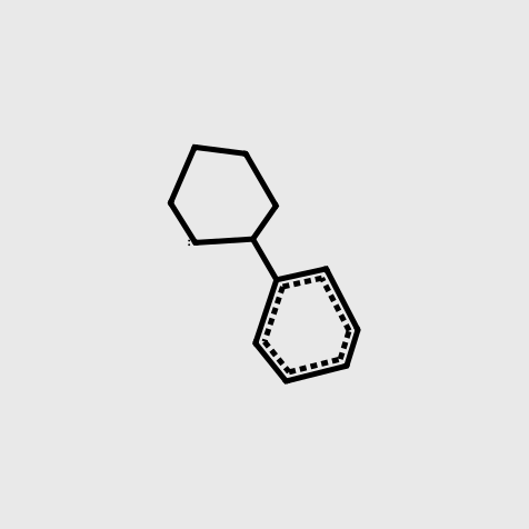 [C]1CCCCC1c1ccccc1